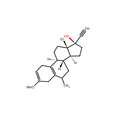 C#C[C@]1(O)CC[C@H]2[C@@H]3CC(C)C4=C(CC=C(OC)C4)[C@H]3CC[C@@]21CC